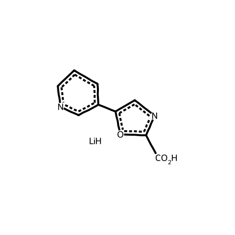 O=C(O)c1ncc(-c2cccnc2)o1.[LiH]